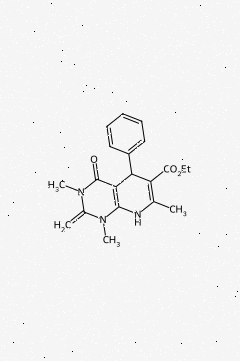 C=C1N(C)C(=O)C2=C(NC(C)=C(C(=O)OCC)C2c2ccccc2)N1C